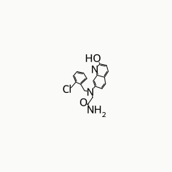 NC(=O)CN(Cc1ccccc1Cl)c1ccc2ccc(O)nc2c1